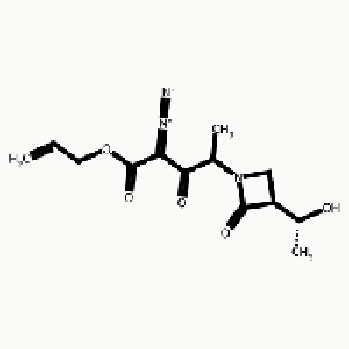 C=CCOC(=O)C(=[N+]=[N-])C(=O)C(C)N1CC([C@@H](C)O)C1=O